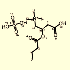 CCCC(=O)O[C@H](CC(=O)O)C[N+](C)(C)C.O=S(=O)(O)O